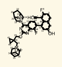 C#Cc1c(F)ccc2cc(O)cc(-c3ccc4c(N5CC6CCC(C5)N6)nc(OCC5(CN6CC7CC(C6)C7O)CC5)nc4c3F)c12